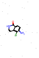 Nc1ccc2c(=O)[nH]ccc2c1Br